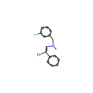 CC/C(=C/N(C)Cc1cccc(F)c1)c1ccccc1